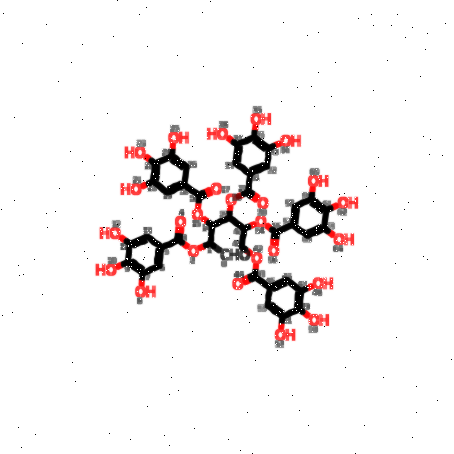 O=CC(OC(=O)c1cc(O)c(O)c(O)c1)C(OC(=O)c1cc(O)c(O)c(O)c1)C(OC(=O)c1cc(O)c(O)c(O)c1)C(COC(=O)c1cc(O)c(O)c(O)c1)OC(=O)c1cc(O)c(O)c(O)c1